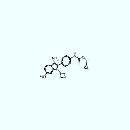 C[C@@H](OC(=O)Nc1ccc(-c2c(N)c3ccc(O)cc3n2C2CCC2)cc1)C1CC1